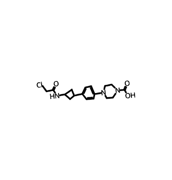 O=C(CCl)NC1CC(c2ccc(N3CCN(C(=O)O)CC3)cc2)C1